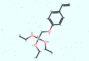 C=Cc1ccc(OC[Si](OCC)(OCC)OCC)cc1